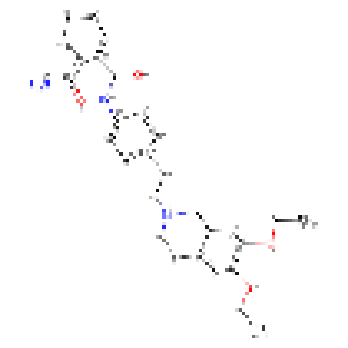 CCOc1cc2c(cc1OCC)CN(CCc1ccc(NC(=O)c3ccccc3C(N)=O)cc1)CC2